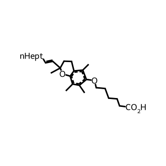 CCCCCCC/C=C/C1(C)CCc2c(C)c(OCCCCCC(=O)O)c(C)c(C)c2O1